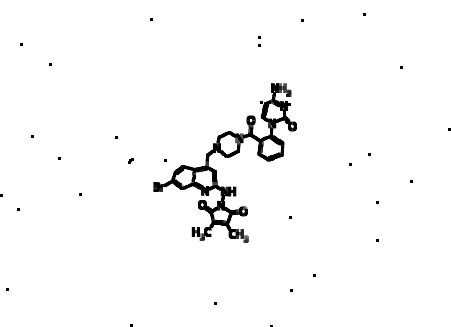 CC1=C(C)C(=O)N(Nc2cc(CN3CCN(C(=O)c4ccccc4-n4ccc(N)nc4=O)CC3)c3ccc(Br)cc3n2)C1=O